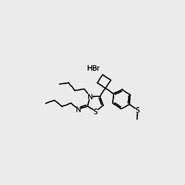 Br.CCCCN=c1scc(C2(c3ccc(SC)cc3)CCC2)n1CCCC